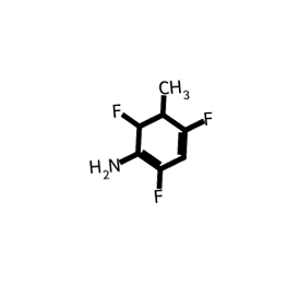 CC1C(F)=CC(F)=C(N)C1F